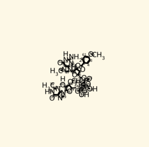 COc1ccc(C2OC3[C@@H](COP(=O)(O)OP(=O)(O)OP(=O)(O)OC[C@H]4O[C@@H](n5cnc6c(=O)[nH]c(C)nc65)[C@@H](O)C4OC)O[C@@H](n4c[n+](C)c5c(=O)[nH]c(N)nc54)[C@H]3O2)cc1